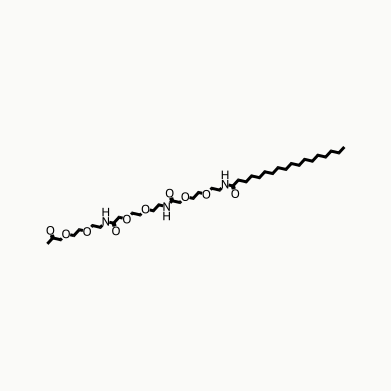 CCCCCCCCCCCCCCCCCC(=O)NCCOCCOCC(=O)NCCOCCOCC(=O)NCCOCCOCC(C)=O